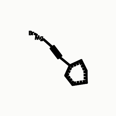 [Br][Mg][C]#Cc1ccccc1